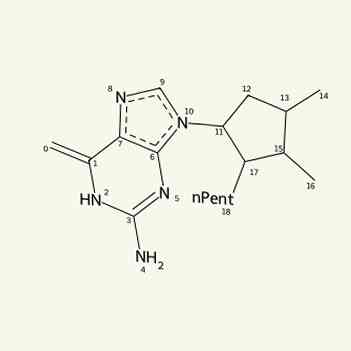 C=C1NC(N)=Nc2c1ncn2C1CC(C)C(C)C1CCCCC